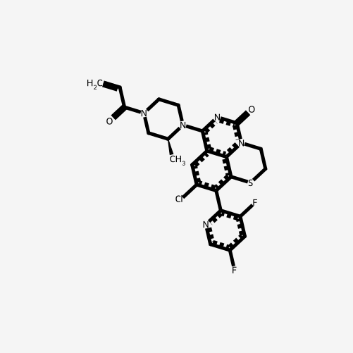 C=CC(=O)N1CCN(c2nc(=O)n3c4c(c(-c5ncc(F)cc5F)c(Cl)cc24)SCC3)[C@@H](C)C1